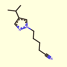 CC(C)c1cnn(CCCCC#N)c1